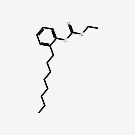 CCCCCCCCc1ccccc1OC(=O)OCC